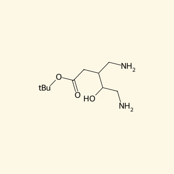 CC(C)(C)OC(=O)CC(CN)C(O)CN